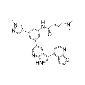 CN(C)CC=CC(=O)Nc1cc(-c2cnc3[nH]cc(-c4ccnc5occc45)c3c2)cc(-c2cnn(C)c2)c1